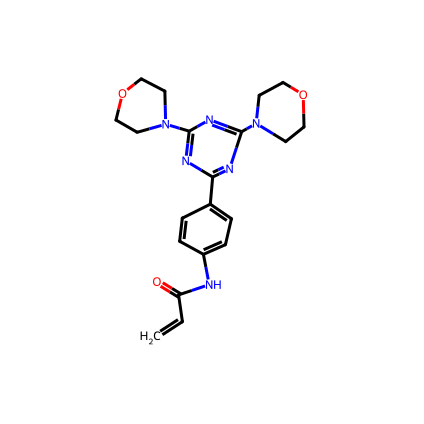 C=CC(=O)Nc1ccc(-c2nc(N3CCOCC3)nc(N3CCOCC3)n2)cc1